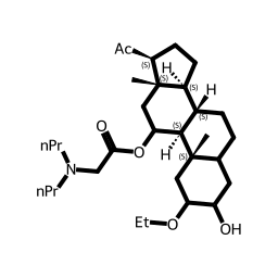 CCCN(CCC)CC(=O)OC1C[C@]2(C)[C@@H](C(C)=O)CC[C@H]2[C@@H]2CCC3CC(O)C(OCC)C[C@]3(C)[C@@H]12